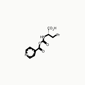 CC(C)C[C@H](NC(=O)OC(=O)c1ccncc1)C(=O)O